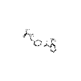 Nc1ccccc1NC[C@H]1CC[C@H](CNC(=O)O)CC1